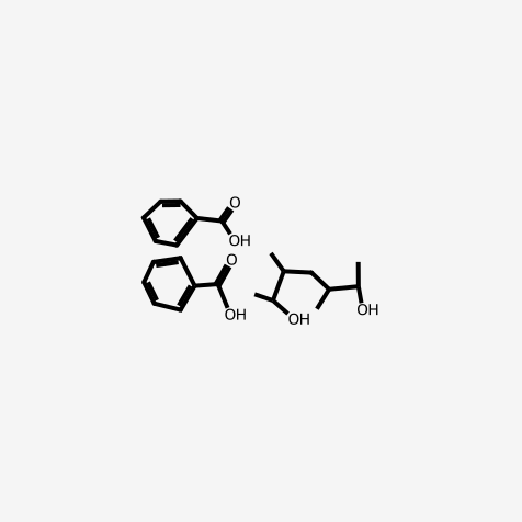 CC(O)C(C)CC(C)C(C)O.O=C(O)c1ccccc1.O=C(O)c1ccccc1